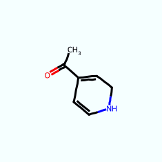 CC(=O)C1=CCNC=C1